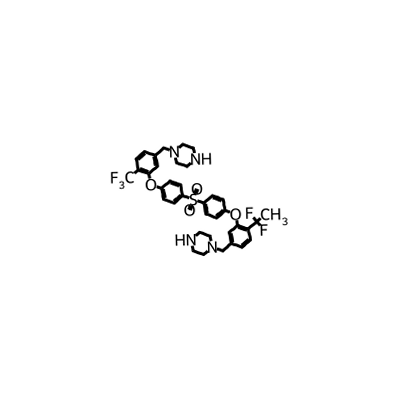 CC(F)(F)c1ccc(CN2CCNCC2)cc1Oc1ccc(S(=O)(=O)c2ccc(Oc3cc(CN4CCNCC4)ccc3C(F)(F)F)cc2)cc1